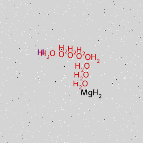 I.O.O.O.O.O.O.O.O.[MgH2]